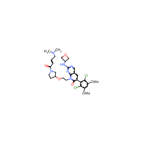 COc1cc(OC)c(Cl)c(-c2cc3cnc(NC4COC4)nc3n(CCOC3CCN(C(=O)C=CCN(C)C)C3)c2=O)c1Cl